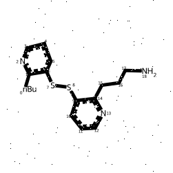 CCCCc1ncccc1SSc1cccnc1CCCN